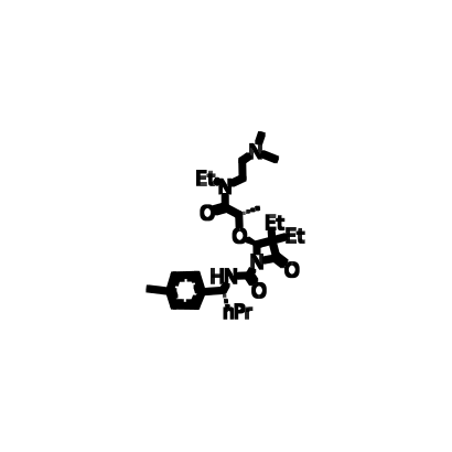 CCC[C@@H](NC(=O)N1C(=O)C(CC)(CC)[C@@H]1O[C@@H](C)C(=O)N(CC)CCN(C)C)c1ccc(C)cc1